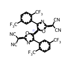 N#CC(C#N)=c1nc(-c2cc(C(F)(F)F)ccc2C(F)(F)F)/c(=c2\oc(=C(C#N)C#N)nc2-c2cc(C(F)(F)F)ccc2C(F)(F)F)o1